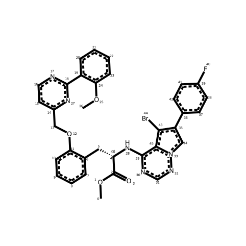 COC(=O)[C@H](Cc1ccccc1OCc1ccnc(-c2ccccc2OC)n1)Nc1ncnn2cc(-c3ccc(F)cc3)c(Br)c12